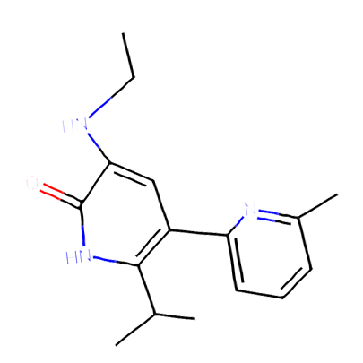 CCNc1cc(-c2cccc(C)n2)c(C(C)C)[nH]c1=O